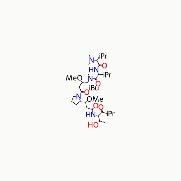 CC[C@H](C)[C@@H]([C@@H](CC(=O)N1CCC[C@H]1C(OC)[C@@H](C)C(=O)N[C@H](C(=O)C(C)C)C(C)O)OC)N(C)C(=O)[C@@H](NC(=O)[C@H](C(C)C)N(C)C)C(C)C